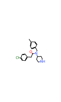 Cc1ccc(CN(C(=O)Cc2ccc(Cl)cc2)C2CCNCC2)cc1